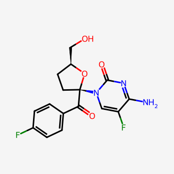 Nc1nc(=O)n([C@@]2(C(=O)c3ccc(F)cc3)CC[C@@H](CO)O2)cc1F